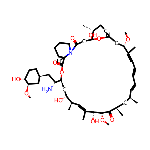 CO[C@H]1C[C@@H]2CC[C@@H](C)[C@](O)(CC(=O)N3CCCC[C@H]3C(=O)O[C@H]([C@H](N)C[C@@H]3CC[C@@H](O)[C@H](OC)C3)C[C@@H](O)[C@H](C)/C=C(\C)[C@@H](O)[C@@H](OC)C(=O)[C@H](C)C[C@H](C)/C=C/C=C/C=C/1C)O2